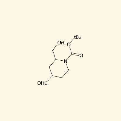 CC(C)(C)OC(=O)N1CCC(C=O)CC1CO